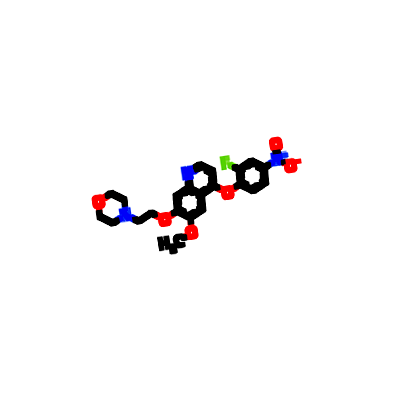 COc1cc2c(Oc3ccc([N+](=O)[O-])cc3F)ccnc2cc1OCCN1CCOCC1